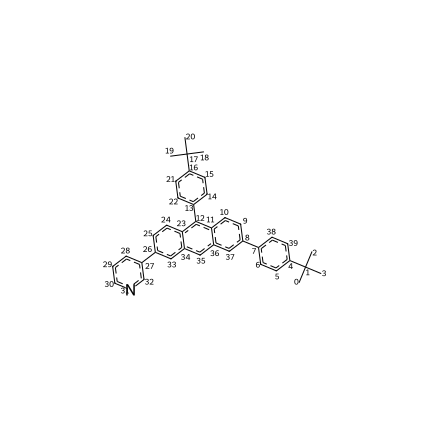 CC(C)(C)c1ccc(-c2ccc3c(-c4ccc(C(C)(C)C)cc4)c4ccc(-c5cccnc5)cc4cc3c2)cc1